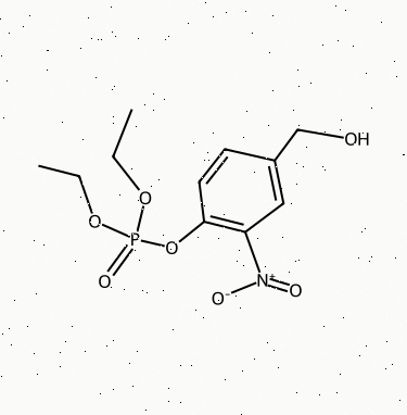 CCOP(=O)(OCC)Oc1ccc(CO)cc1[N+](=O)[O-]